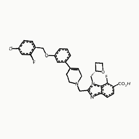 O=C(O)c1ccc2nc(CN3CC=C(c4cccc(OCc5ccc(Cl)cc5F)c4)CC3)n(C[C@@H]3CCO3)c2c1F